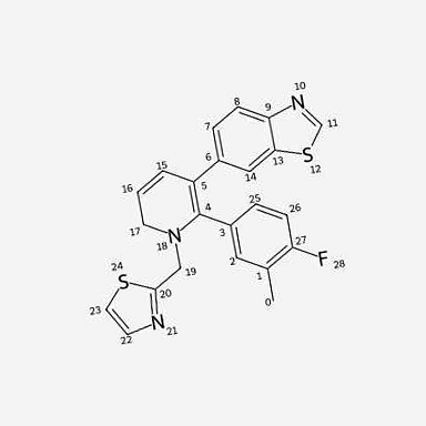 Cc1cc(C2=C(c3ccc4ncsc4c3)C=CCN2Cc2nccs2)ccc1F